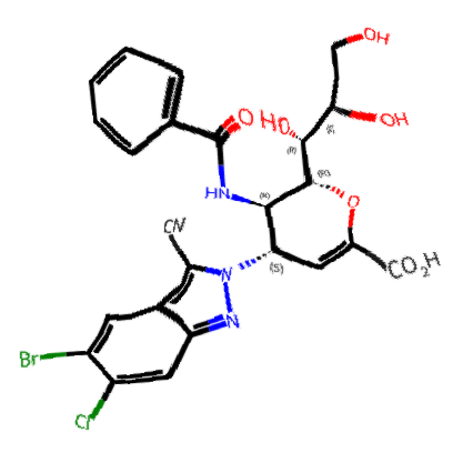 N#Cc1c2cc(Br)c(Cl)cc2nn1[C@H]1C=C(C(=O)O)O[C@@H]([C@H](O)[C@H](O)CO)[C@@H]1NC(=O)c1ccccc1